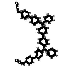 O=C=Nc1ccc(-c2ccc(N(c3ccccc3)c3ccc(-c4ccc(N(c5ccccc5)c5ccc(-c6ccc(N=C=O)cc6)cc5)cc4)cc3)cc2)cc1